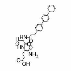 NC(=O)C(CCC(=O)O)NC(=O)C(CO)NC(=O)CCc1ccc(-c2ccc(-c3ccccc3)cc2)cc1